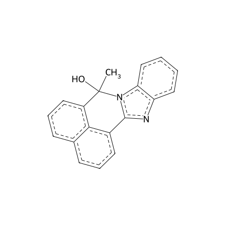 CC1(O)c2cccc3cccc(c23)-c2nc3ccccc3n21